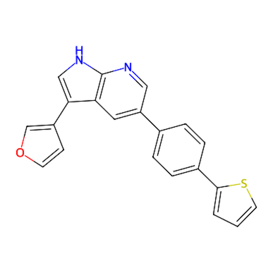 c1csc(-c2ccc(-c3cnc4[nH]cc(-c5ccoc5)c4c3)cc2)c1